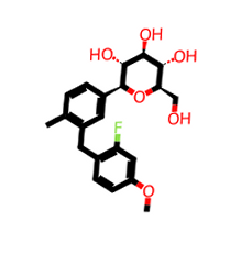 COc1ccc(Cc2cc([C@@H]3O[C@H](CO)[C@@H](O)[C@H](O)[C@H]3O)ccc2C)c(F)c1